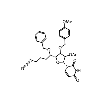 COc1ccc(COC2C(OC(C)=O)[C@H](n3ccc(=O)[nH]c3=O)O[C@@H]2C(CCCN=[N+]=[N-])OCc2ccccc2)cc1